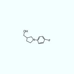 OCC1CCN(c2ccc(F)cc2)C1